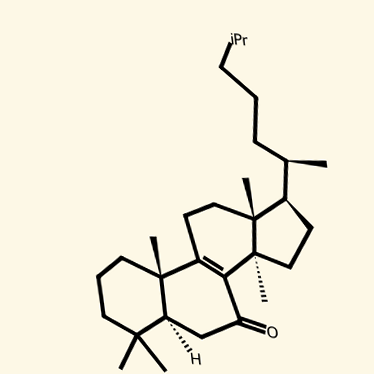 CC(C)CCC[C@@H](C)[C@H]1CC[C@@]2(C)C3=C(CC[C@]12C)[C@@]1(C)CCCC(C)(C)[C@@H]1CC3=O